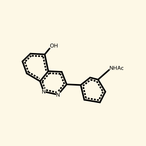 CC(=O)Nc1cccc(-c2cc3c(O)cccc3nn2)c1